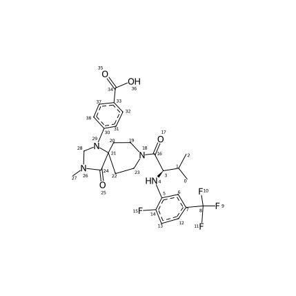 CC(C)[C@@H](Nc1cc(C(F)(F)F)ccc1F)C(=O)N1CCC2(CC1)C(=O)N(C)CN2c1ccc(C(=O)O)cc1